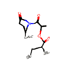 CC(=O)OC1CC(=O)N1C(=O)C(C)OC(=O)C(CC(C)(C)C)C(C)(C)C